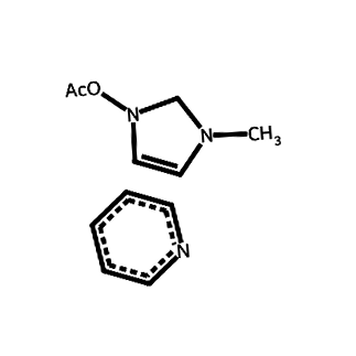 CC(=O)ON1C=CN(C)C1.c1ccncc1